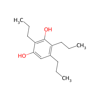 CCCc1cc(O)c(CCC)c(O)c1CCC